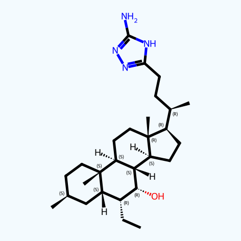 CC[C@H]1[C@@H](O)[C@@H]2[C@H](CC[C@]3(C)[C@@H]([C@H](C)CCc4nnc(N)[nH]4)CC[C@@H]23)[C@@]2(C)CC[C@H](C)C[C@@H]12